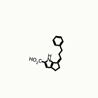 O=C(O)c1cc2c([nH]1)/C(=C\CCc1ccccc1)CC2